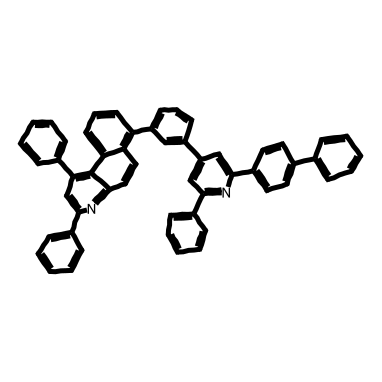 c1ccc(-c2ccc(-c3cc(-c4cccc(-c5cccc6c5ccc5nc(-c7ccccc7)cc(-c7ccccc7)c56)c4)cc(-c4ccccc4)n3)cc2)cc1